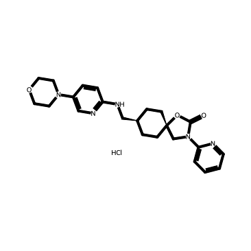 Cl.O=C1O[C@]2(CC[C@H](CNc3ccc(N4CCOCC4)cn3)CC2)CN1c1ccccn1